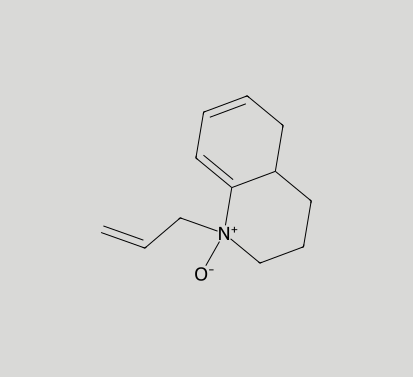 C=CC[N+]1([O-])CCCC2CC=CC=C21